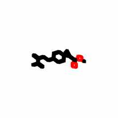 C=C(C)C(=C)CCC1CCC2(CC1)CC2C(=O)OC